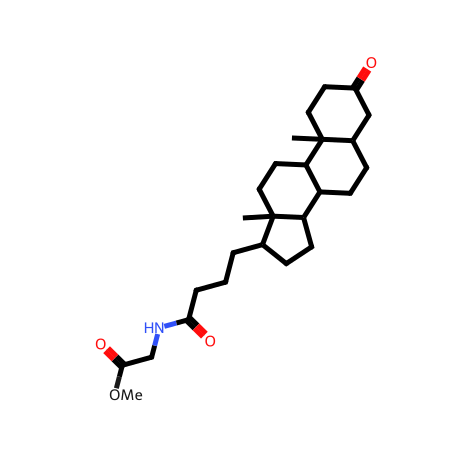 COC(=O)CNC(=O)CCCC1CCC2C3CCC4CC(=O)CCC4(C)C3CCC12C